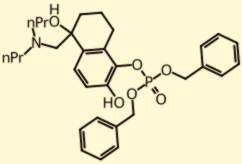 CCCN(CCC)CC1(O)CCCc2c1ccc(O)c2OP(=O)(OCc1ccccc1)OCc1ccccc1